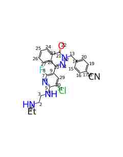 CCNCCNc1nc(F)c(-c2nn(Cc3ccc(C#N)cc3)c(=O)c3ccccc23)cc1Cl